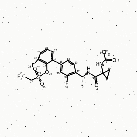 C[C@@H](NC(=O)C1(NC(=O)C(F)(F)F)CC1)c1ccc(-c2cccc(F)c2OS(=O)(=O)CC(F)(F)F)cc1F